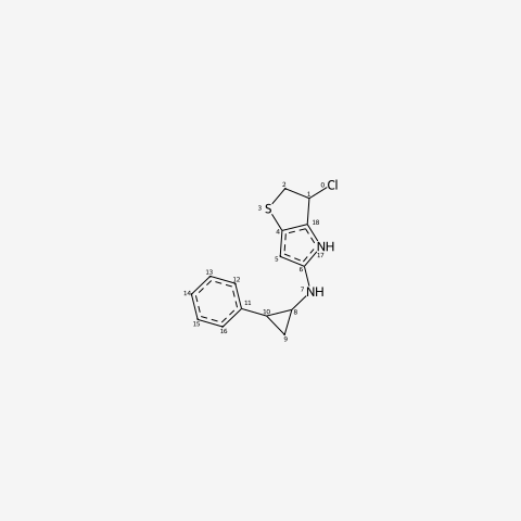 ClC1CSc2cc(NC3CC3c3ccccc3)[nH]c21